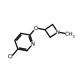 CN1CC(Oc2ccc(Cl)cn2)C1